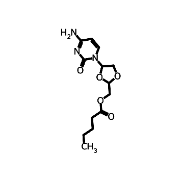 CCCCC(=O)OCC1OCC(n2ccc(N)nc2=O)O1